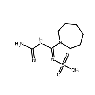 N=C(N)NC(=NS(=O)(=O)O)N1CCCCCC1